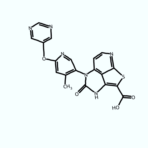 Cc1cc(Oc2cncnc2)ncc1N1C(=O)Nc2c(C(=O)O)sc3nccc1c23